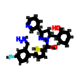 NCc1cc(F)ccc1-c1ccc(C(=O)N2N=C(c3cccnc3)CC2c2ccccc2O)s1